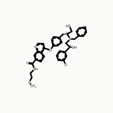 COCCNC(=O)c1ccc2c(Oc3ccc(C[C@@H](CO)N(Cc4ccccc4)C[C@@H](O)c4cccc(Cl)c4)cc3)ccnc2c1